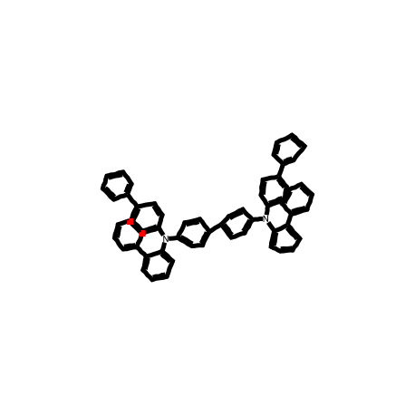 c1ccc(-c2ccc(N(c3ccc(-c4ccc(N(c5ccc(-c6ccccc6)cc5)c5ccccc5-c5ccccc5)cc4)cc3)c3ccccc3-c3ccccc3)cc2)cc1